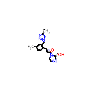 Cc1nnn(Cc2cc(C(F)(F)F)ccc2/C=C/C(=O)N2CCNC[C@H]2CO)n1